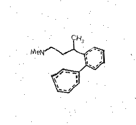 CNCCC(C)c1ccccc1-c1ccccc1